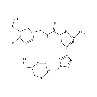 CCc1cc(CNC(=O)c2cc(-c3nnn(C[C@H]4COC(CO)CO4)n3)nc(C)n2)ccc1F